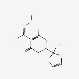 CCO/N=C(/CC)C1=C(O)CC(C2(SC)NC=CS2)CC1=O